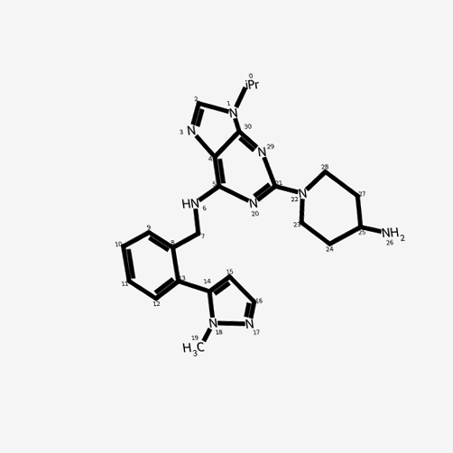 CC(C)n1cnc2c(NCc3ccccc3-c3ccnn3C)nc(N3CCC(N)CC3)nc21